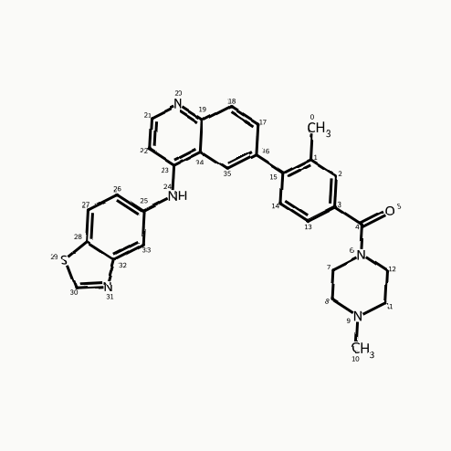 Cc1cc(C(=O)N2CCN(C)CC2)ccc1-c1ccc2nccc(Nc3ccc4scnc4c3)c2c1